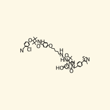 Cc1ncsc1-c1ccc(CNC(=O)[C@@H]2C[C@@H](O)CN2C(=O)[C@@H](NC(=O)CNCCCCCOc2ccc(C(=O)N[C@H]3C(C)(C)[C@H](Oc4ccc(C#N)c(Cl)c4)C3(C)C)cc2)C(C)(C)C)cc1